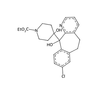 CCOC(=O)N1CCC(O)(C2(O)c3ccc(Cl)cc3CCc3cccnc32)CC1